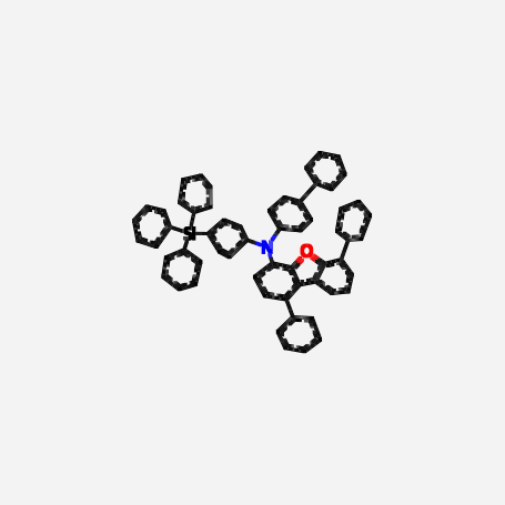 c1ccc(-c2ccc(N(c3ccc([Si](c4ccccc4)(c4ccccc4)c4ccccc4)cc3)c3ccc(-c4ccccc4)c4c3oc3c(-c5ccccc5)cccc34)cc2)cc1